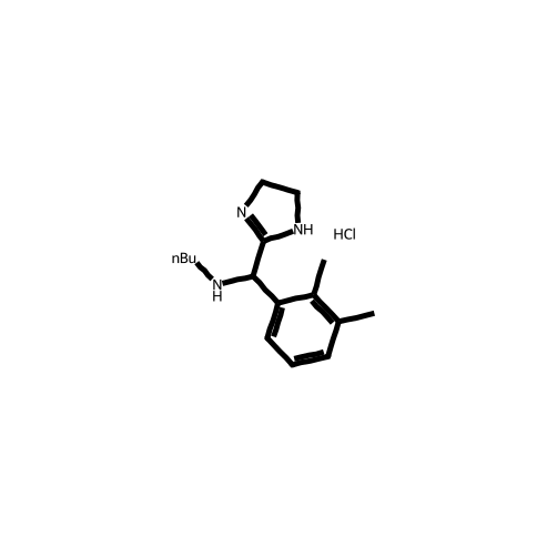 CCCCNC(C1=NCCN1)c1cccc(C)c1C.Cl